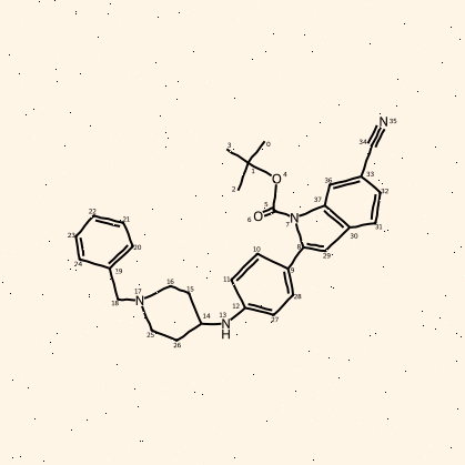 CC(C)(C)OC(=O)n1c(-c2ccc(NC3CCN(Cc4ccccc4)CC3)cc2)cc2ccc(C#N)cc21